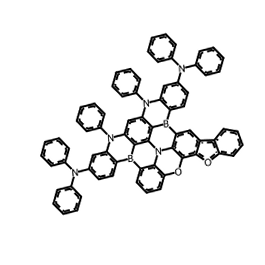 c1ccc(N(c2ccccc2)c2ccc3c(c2)N(c2ccccc2)c2cc4c5c6c2B3c2cccc3c2N6c2c(cc6c(oc7ccccc76)c2O3)B5c2ccc(N(c3ccccc3)c3ccccc3)cc2N4c2ccccc2)cc1